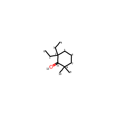 CCC1(CC)CCCC(C)(C)C1=O